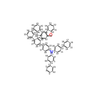 c1ccc(-c2ccc(N(c3ccc(-c4ccccc4)cc3)c3ccc(-c4ccc5c(c4)C4(c6ccccc6-5)c5ccccc5-c5c4ccc4oc6ccccc6c54)cc3)cc2)cc1